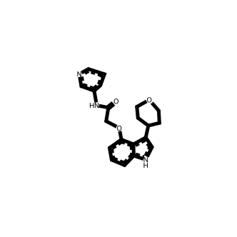 O=C(COc1cccc2[nH]cc(C3CCOCC3)c12)Nc1cccnc1